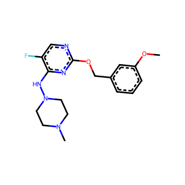 COc1cccc(COc2ncc(F)c(NN3CCN(C)CC3)n2)c1